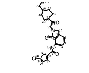 O=C(Nc1cccc2c1C(=O)N(CC(=O)N1CCC(CO)CC1)C2)c1ccc(Cl)s1